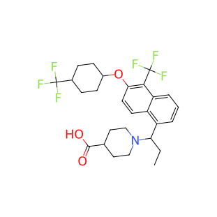 CCC(c1cccc2c(C(F)(F)F)c(OC3CCC(C(F)(F)F)CC3)ccc12)N1CCC(C(=O)O)CC1